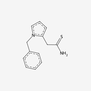 NC(=S)Cc1cccn1Cc1ccccc1